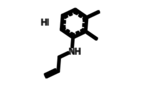 C=CCNc1cccc(C)c1C.I